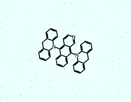 c1ccc2c(c1)Cc1ccccc1N2c1c2ccccc2c(N2c3ccccc3Cc3ccccc32)c2cnccc12